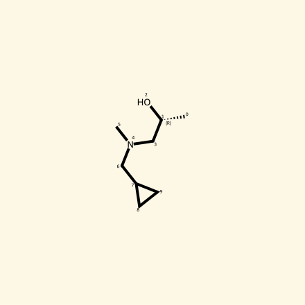 C[C@@H](O)CN(C)CC1CC1